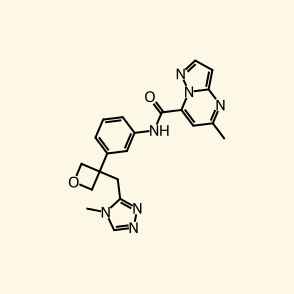 Cc1cc(C(=O)Nc2cccc(C3(Cc4nncn4C)COC3)c2)n2nccc2n1